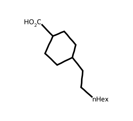 CCCCCCCCC1CCC(C(=O)O)CC1